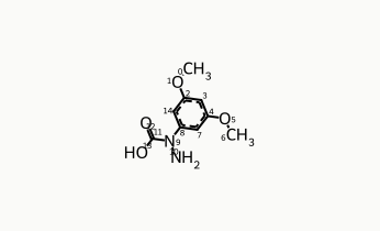 COc1cc(OC)cc(N(N)C(=O)O)c1